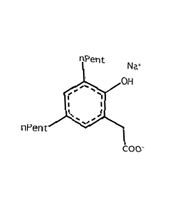 CCCCCc1cc(CCCCC)c(O)c(CC(=O)[O-])c1.[Na+]